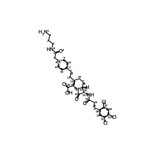 NCCCNC(=O)C[n+]1ccc(SCC2=C(C(=O)O)N3C(=O)[C@H](NC(=O)CSc4cc(Cl)c(Cl)cc4Cl)[C@H]3SC2)cc1